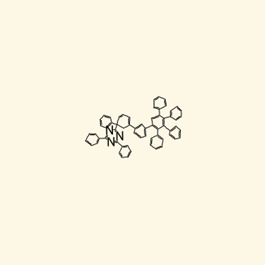 C1=CC(c2ccccc2)(c2nc(-c3ccccc3)nc(-c3ccccc3)n2)CC(c2cccc(-c3cc(-c4ccccc4)c(-c4ccccc4)c(-c4ccccc4)c3-c3ccccc3)c2)=C1